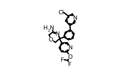 NC1=NC(c2ccc(OC(F)F)nc2)(c2cccc(-c3cncc(Cl)c3)c2)COC1